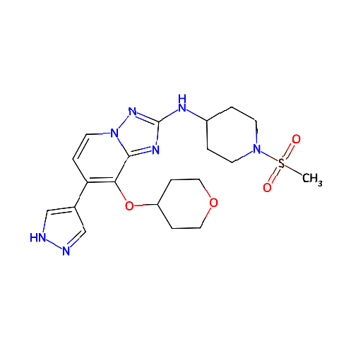 CS(=O)(=O)N1CCC(Nc2nc3c(OC4CCOCC4)c(-c4cn[nH]c4)ccn3n2)CC1